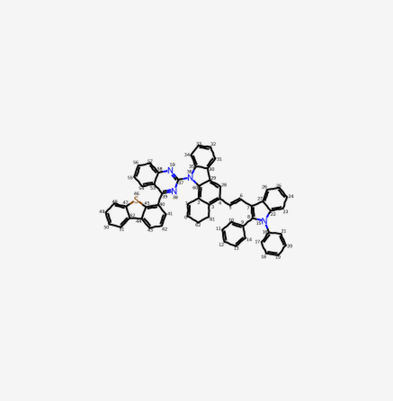 C1=Cc2c(c(/C=C/c3c(-c4ccccc4)n(-c4ccccc4)c4ccccc34)cc3c4ccccc4n(-c4nc(-c5cccc6c5sc5ccccc56)c5ccccc5n4)c23)CC1